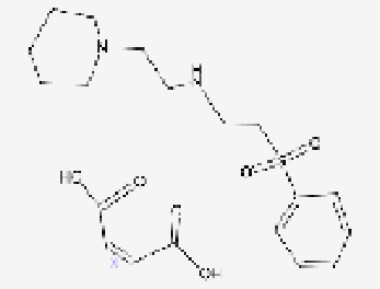 O=C(O)/C=C\C(=O)O.O=S(=O)(CCNCCN1CCCCC1)c1ccccc1